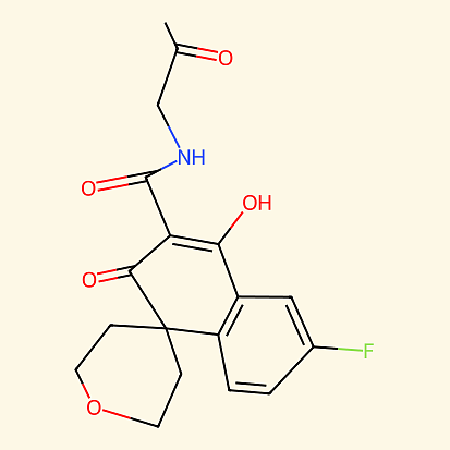 CC(=O)CNC(=O)C1=C(O)c2cc(F)ccc2C2(CCOCC2)C1=O